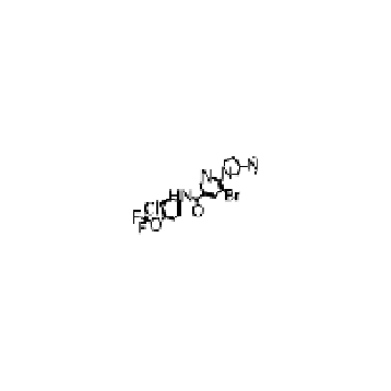 CN(C)C1CCN(c2ncc(C(=O)Nc3ccc(OC(F)(F)Cl)cc3)cc2Br)C1